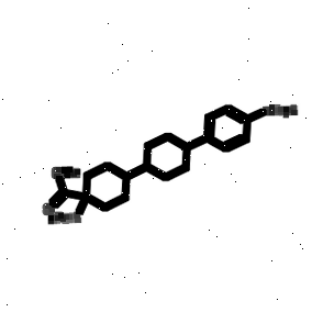 CCCCCCCc1ccc(C2CCC(C3CCC(CCCCC)(C(=O)OC)CC3)CC2)cc1